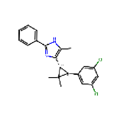 Cc1[nH]c(-c2ccccc2)nc1[C@@H]1[C@@H](c2cc(Cl)cc(Cl)c2)C1(C)C